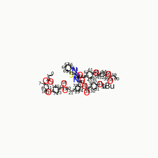 C=CC(=O)OC(C)(C)CC(C)(C)Oc1ccc(C(=O)OCCc2ccc(OC(=O)c3ccc(OC(C)(C)C)cc3)c(/C=N/N(OC(=O)c3ccc(OC(C)(C)CC(C)(C)OC(=O)C=C)cc3)c3nc4ccccc4s3)c2)cc1